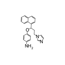 Nc1ccc(OC(CCn2ccnc2)c2cccc3ccccc23)cc1